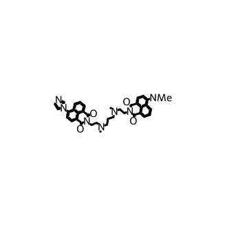 CNc1ccc2c3c(cccc13)C(=O)N(CCN(C)CCCN(C)CCN1C(=O)c3cccc4c(-n5ccnc5)ccc(c34)C1=O)C2=O